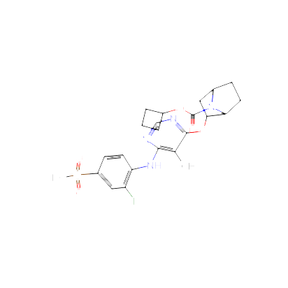 Cc1c(Nc2ccc(S(C)(=O)=O)cc2F)ncnc1OC1CC2CCC1N2C(=O)OC1CCC1